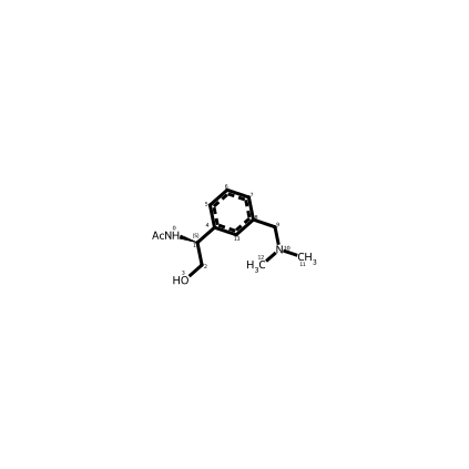 CC(=O)N[C@H](CO)c1cccc(CN(C)C)c1